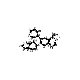 Nc1ncnc2ccc(-c3cccnc3-c3cccc4ccoc34)cc12